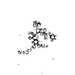 COCCCOc1cc(C(=O)N(CC2CN(C(=O)OC(C)(C)C)CC2OC(=O)NCc2ccccn2)C(C)C)ccc1OC